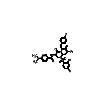 CC(C)N1CC2N(C(=O)C(NC(=O)c3ccc(N(C)C)cc3)CN2S(=O)(=O)c2ccc(Cl)cc2Cl)C(Cc2ccc(F)cc2)C1=O